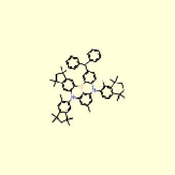 Cc1cc2c3c(c1)N(c1ccc4c(c1C)C(C)(C)CCC4(C)C)c1ccc(C(c4ccccc4)c4ccccc4)cc1B3c1cc3c(cc1N2c1cc2c(cc1C)C(C)(C)CC2(C)C)C(C)(C)CC3(C)C